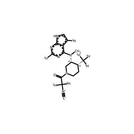 [2H]c1nc(N(C)[C@H]2CN(C(=O)C([2H])([2H])[N+]#[C-])CC[C@H]2C([2H])([2H])[2H])c2c([2H])c[nH]c2n1